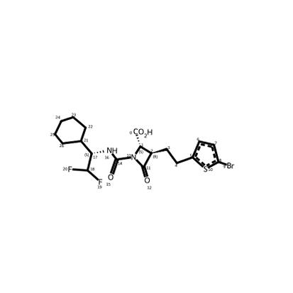 O=C(O)[C@@H]1[C@@H](CCc2ccc(Br)s2)C(=O)N1C(=O)N[C@H](C(F)F)C1CCCCC1